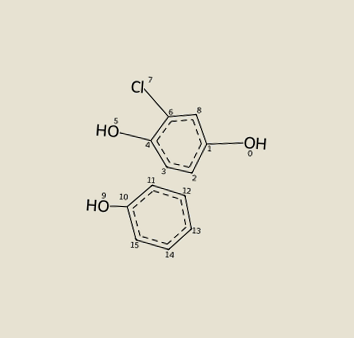 Oc1ccc(O)c(Cl)c1.Oc1ccccc1